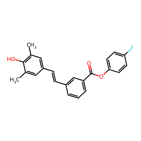 Cc1cc(/C=C/c2cccc(C(=O)Oc3ccc(F)cc3)c2)cc(C)c1O